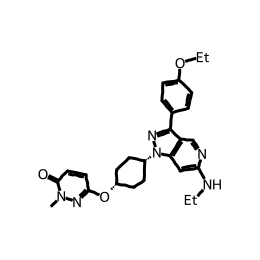 CCNc1cc2c(cn1)c(-c1ccc(OCC)cc1)nn2[C@H]1CC[C@@H](Oc2ccc(=O)n(C)n2)CC1